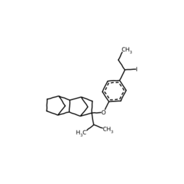 CCC(I)c1ccc(OC2(C(C)C)CC3CC2C2C4CCC(C4)C32)cc1